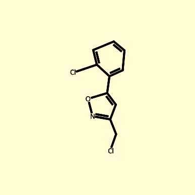 ClCc1cc(-c2ccccc2Cl)on1